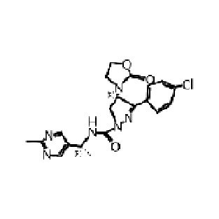 Cc1ncc([C@@H](C)NC(=O)N2C[C@@H](N3CCOC3=O)C(c3ccc(Cl)cc3)=N2)cn1